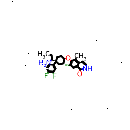 CCC(N)[C@]1(c2ccc(F)c(F)c2)CC[C@H](Oc2c(F)cc3c(=O)[nH]ccc3c2C)CC1